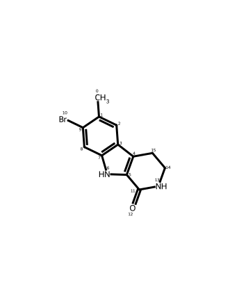 Cc1cc2c3c([nH]c2cc1Br)C(=O)NCC3